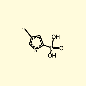 [CH2]c1csc(P(=O)(O)O)c1